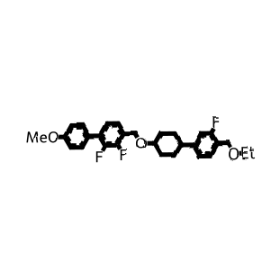 CCOCc1ccc(C2CCC(OCc3ccc(-c4ccc(OC)cc4)c(F)c3F)CC2)cc1F